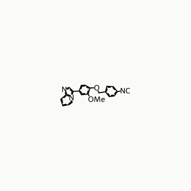 [C-]#[N+]c1ccc(COc2ccc(-c3cnc4ccccn34)cc2OC)cc1